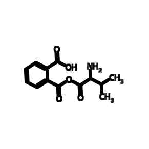 CC(C)C(N)C(=O)OC(=O)c1ccccc1C(=O)O